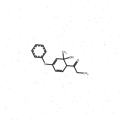 CCC(=O)C1C=CC(Oc2ccccc2)=CC1(C)O